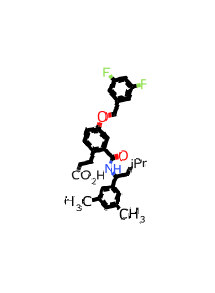 Cc1cc(C)cc(C(CC(C)C)NC(=O)c2cc(OCc3cc(F)cc(F)c3)ccc2CCC(=O)O)c1